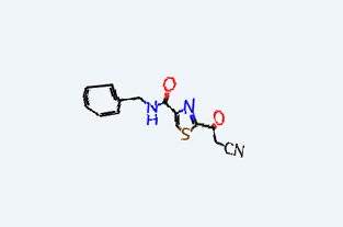 N#CCC(=O)c1nc(C(=O)NCc2ccccc2)cs1